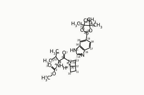 COC(=O)N[C@H](C(=O)N1[C@@H]2CCC2[C@H]1c1nc2ccc(B3OC(C)(C)C(C)(C)O3)cc2[nH]1)C(C)C